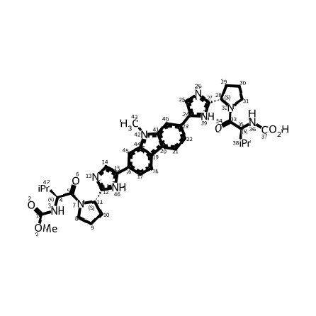 COC(=O)N[C@H](C(=O)N1CCC[C@H]1c1ncc(-c2ccc3c4ccc(-c5cnc([C@@H]6CCCN6C(=O)[C@@H](NC(=O)O)C(C)C)[nH]5)cc4n(C)c3c2)[nH]1)C(C)C